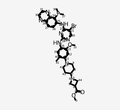 COC(=O)C1CN(C2CCN(c3cc(OC)c(Nc4ncc(Br)c(Nc5ccc6nccnc6c5P(C)C)n4)cc3C)CC2)C1